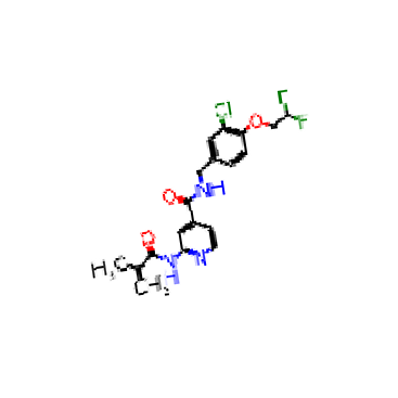 CC(C)C(=O)Nc1cc(C(=O)NCc2ccc(OCC(F)F)c(Cl)c2)ccn1